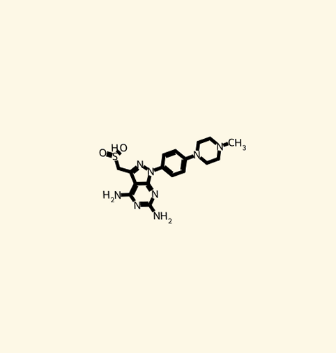 CN1CCN(c2ccc(-n3nc(C[SH](=O)=O)c4c(N)nc(N)nc43)cc2)CC1